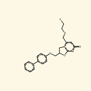 O=c1cc(COCCF)n2c(n1)OC(COc1ccc(-c3ccccc3)cc1)C2